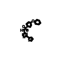 O=S(=O)(Nc1nc(-c2cccs2)ns1)c1ccc(Oc2ccccc2)cc1